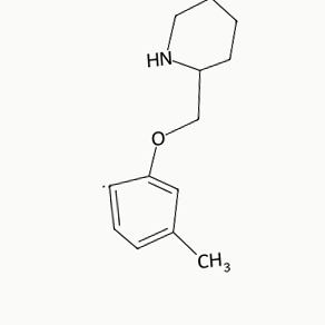 Cc1cc[c]c(OCC2CCCCN2)c1